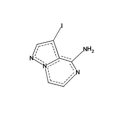 Nc1nccn2ncc(I)c12